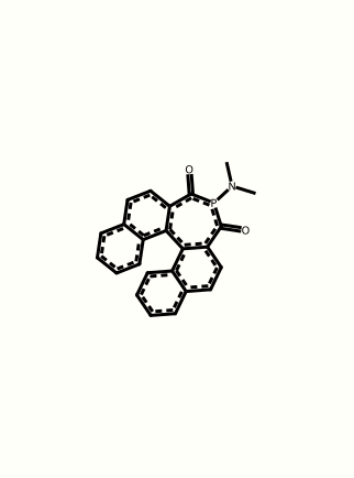 CN(C)p1c(=O)c2ccc3ccccc3c2c2c(ccc3ccccc32)c1=O